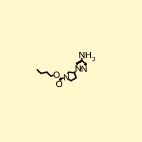 CCCCOC(=O)N1CCC(n2cc(N)cn2)C1